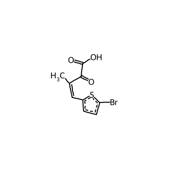 CC(=Cc1ccc(Br)s1)C(=O)C(=O)O